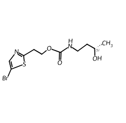 C[C@H](O)CCNC(=O)OCCc1ncc(Br)s1